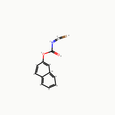 O=C(N=C=S)Oc1ccc2ccccc2c1